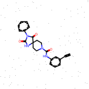 C#Cc1cccc(NC(=O)N2CCC3(CC2)NC(=O)N(c2ccccc2)C3=O)c1